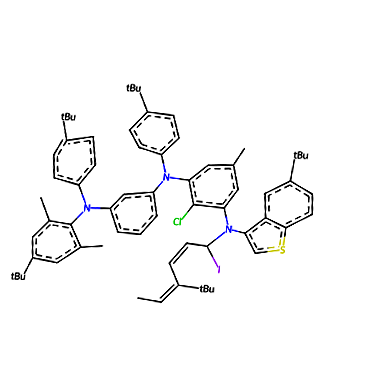 C/C=C(\C=C/C(I)N(c1cc(C)cc(N(c2ccc(C(C)(C)C)cc2)c2cccc(N(c3ccc(C(C)(C)C)cc3)c3c(C)cc(C(C)(C)C)cc3C)c2)c1Cl)c1csc2ccc(C(C)(C)C)cc12)C(C)(C)C